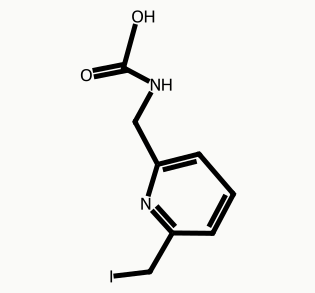 O=C(O)NCc1cccc(CI)n1